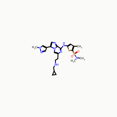 Cc1cc(Nc2nc(CCNCC3CC3)cn3c(-c4cnn(C)c4)cnc23)sc1S(=O)(=O)N(C)C